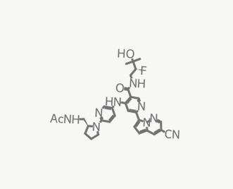 CC(=O)NC[C@@H]1CCCN1c1ccc(Nc2cc(-c3ccc4cc(C#N)cnn34)ncc2C(=O)NC[C@@H](F)C(C)(C)O)cn1